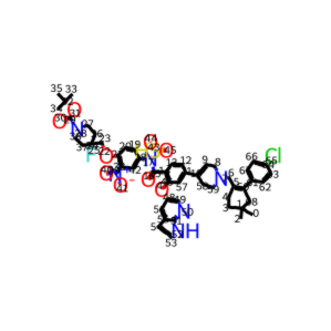 CC1(C)CCC(CN2CC=C(c3ccc(C(=O)N(c4ccc(OCC5(F)CCN(C(=O)OC(C)(C)C)CC5)c([N+](=O)[O-])c4)[SH](=O)=O)c(Oc4cnc5[nH]ccc5c4)c3)CC2)=C(c2ccc(Cl)cc2)C1